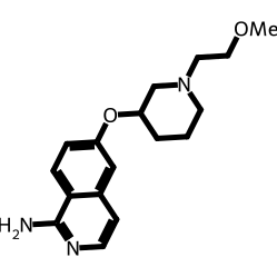 COCCN1CCCC(Oc2ccc3c(N)nccc3c2)C1